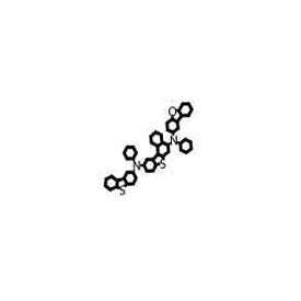 c1ccc(N(c2ccc3sc4ccccc4c3c2)c2ccc3sc4cc(N(c5ccccc5)c5ccc6oc7ccccc7c6c5)c5ccccc5c4c3c2)cc1